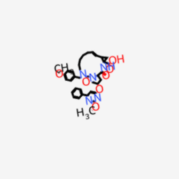 COc1ccc(CN2CCCCC/C=C/C3CC3(C(=O)O)NC(=O)C3CC(Oc4cc(-c5ccccc5)nc(OC)n4)CN3C2=O)cc1